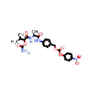 CC(NC(=O)C(OC(N)=O)C(C)C)C(=O)Nc1ccc(COC(=O)Oc2ccc([N+](=O)[O-])cc2)cc1